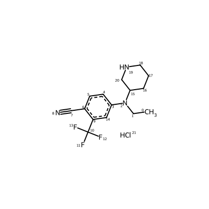 CCN(c1ccc(C#N)c(C(F)(F)F)c1)C1CCCNC1.Cl